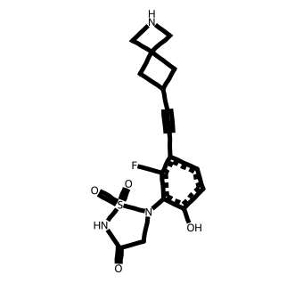 O=C1CN(c2c(O)ccc(C#CC3CC4(CNC4)C3)c2F)S(=O)(=O)N1